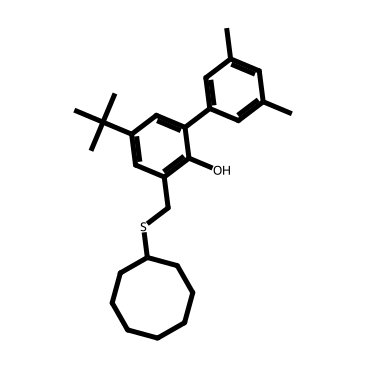 Cc1cc(C)cc(-c2cc(C(C)(C)C)cc(CSC3CCCCCCC3)c2O)c1